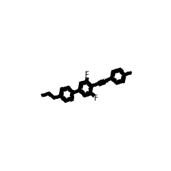 CCCc1ccc(-c2cc(F)c(C#Cc3ccc(C)cc3)c(F)c2)cc1